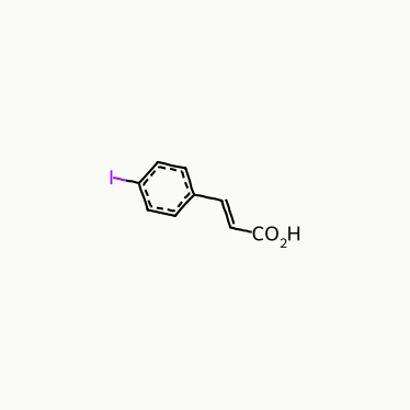 O=C(O)C=Cc1ccc(I)cc1